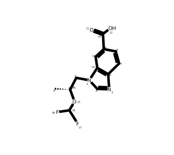 C[C@H](Cn1cnc2ccc(C(=O)O)cc21)OC(F)F